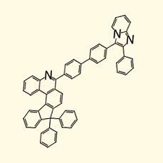 c1ccc(-c2nc3ccccn3c2-c2ccc(-c3ccc(-c4nc5ccccc5c5c6c(ccc45)C(c4ccccc4)(c4ccccc4)c4ccccc4-6)cc3)cc2)cc1